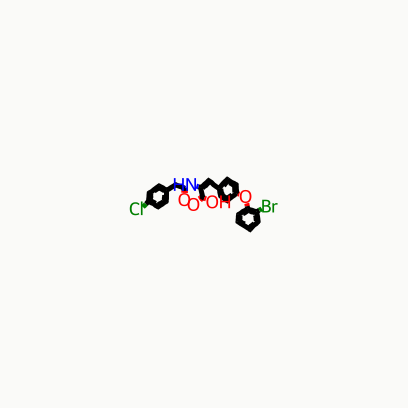 O=C(Cc1ccc(Cl)cc1)NC(=Cc1ccc(Oc2ccccc2Br)cc1)C(=O)O